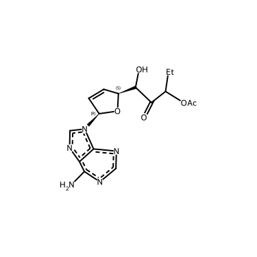 CCC(OC(C)=O)C(=O)C(O)[C@@H]1C=C[C@H](n2cnc3c(N)ncnc32)O1